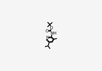 Cc1cc(C(C)C)cnc1NC(=O)OC(C)(C)C